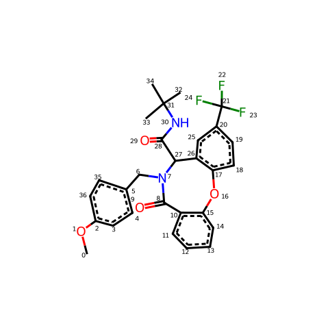 COc1ccc(CN2C(=O)c3ccccc3Oc3ccc(C(F)(F)F)cc3C2C(=O)NC(C)(C)C)cc1